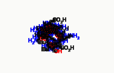 CC[C@H](C)[C@H](N)C(=O)N[C@@H](CC(N)=O)C(=O)N[C@H](C(=O)N[C@@H](CCCCN)C(=O)NCC(=O)N[C@H](C(=O)N[C@@H](CO)C(=O)N[C@@H](CCC(=O)O)C(=O)N[C@@H](C)C(=O)N[C@@H](CCCCN)C(=O)N[C@@H](C)C(=O)N[C@@H](CC(=O)O)C(=O)N[C@@H](CCCCN)C(=O)N[C@H](C(=O)N[C@@H](CC(C)C)C(=O)N[C@@H](C)C(=O)N[C@@H](CCC(=O)O)C(=O)N[C@@H](C)C(=O)N[C@@H](C)C(=O)N[C@@H](CCCCN)C(=O)O)[C@@H](C)CC)[C@@H](C)CC)[C@@H](C)CC